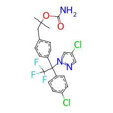 CC(C)(Cc1ccc(C(c2ccc(Cl)cc2)(n2cc(Cl)cn2)C(F)(F)F)cc1)OC(N)=O